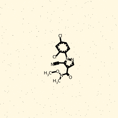 CON(C)C(=O)c1cnn(-c2ccc(Cl)cc2Cl)c1C#N